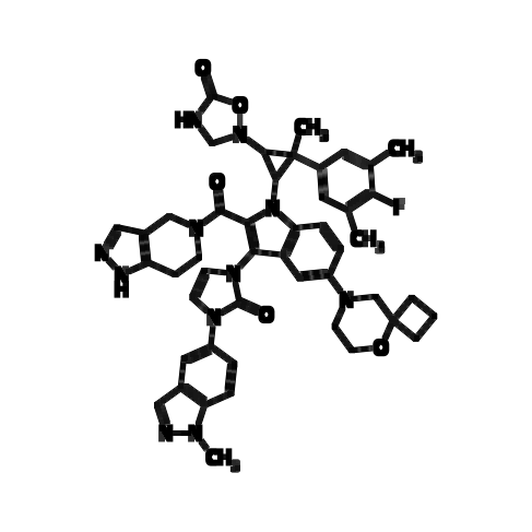 Cc1cc(C2(C)C(N3CNC(=O)O3)C2n2c(C(=O)N3CCc4[nH]ncc4C3)c(-n3ccn(-c4ccc5c(cnn5C)c4)c3=O)c3cc(N4CCOC5(CCC5)C4)ccc32)cc(C)c1F